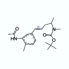 CC(=O)Nc1cc(/C=C/CC(C)N(C)C(=O)OC(C)(C)C)ccc1C